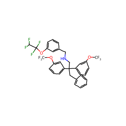 FC(F)C(F)(F)Oc1cccc(CNCC(Cc2ccccc2)(c2cccc(OC(F)(F)F)c2)c2cccc(OC(F)(F)F)c2)c1